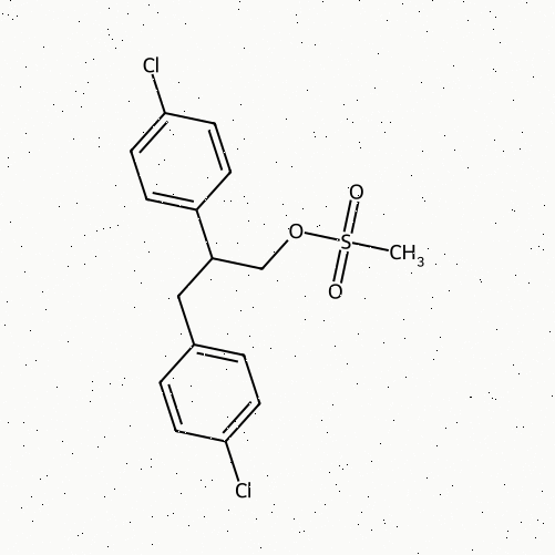 CS(=O)(=O)OCC(Cc1ccc(Cl)cc1)c1ccc(Cl)cc1